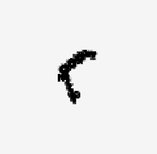 C=CC(=O)OCCCCCCCC1(C#N)CCCC(c2ccc(-c3ccc(OCCC(C)C)cc3)cc2)C1